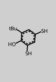 CC(C)(C)c1cc(S)cc(S)c1O